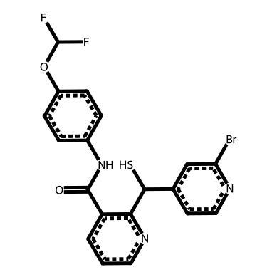 O=C(Nc1ccc(OC(F)F)cc1)c1cccnc1C(S)c1ccnc(Br)c1